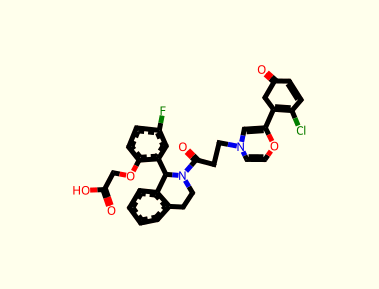 O=C(O)COc1ccc(F)cc1C1c2ccccc2CCN1C(=O)CCN1C=COC(C2=C(Cl)C=CC(=O)C2)=C1